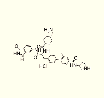 Cc1cc(C(=O)N[C@H]2CCNC2)ccc1-c1ccc(C[C@H](NC(=O)[C@H]2CC[C@H](CN)CC2)C(=O)Nc2ccc3c(=O)[nH][nH]c3c2)cc1.Cl